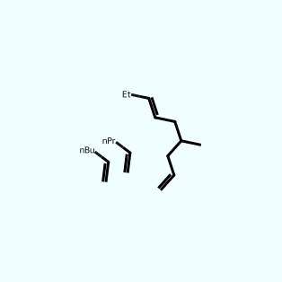 C=CCC(C)CC=CCC.C=CCCC.C=CCCCC